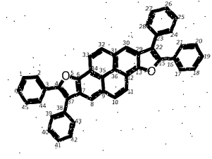 c1ccc(-c2oc3c(cc4ccc5c6oc(-c7ccccc7)c(-c7ccccc7)c6cc6ccc3c4c65)c2-c2ccccc2)cc1